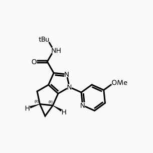 COc1ccnc(-n2nc(C(=O)NC(C)(C)C)c3c2[C@@H]2C[C@@H]2C3)c1